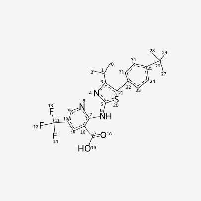 CC(C)c1nc(Nc2ncc(C(F)(F)F)cc2C(=O)O)sc1-c1ccc(C(C)(C)C)cc1